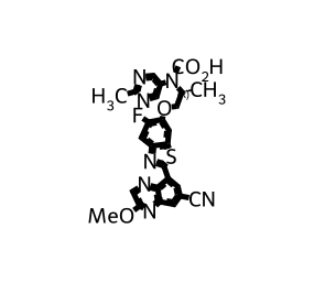 COc1cnc2c(-c3nc4cc(F)c(OC[C@@H](C)N(C(=O)O)c5cnc(C)nc5)cc4s3)cc(C#N)cc2n1